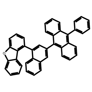 c1ccc(-c2c3ccccc3c(-c3cc(-c4cccc5oc6ccccc6c45)c4ccccc4c3)c3ccccc23)cc1